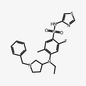 CCN(c1cc(F)c(S(=O)(=O)Nc2cscn2)cc1C)C1CCN(Cc2ccccc2)C1